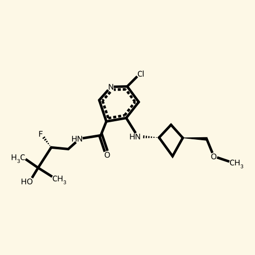 COC[C@H]1C[C@H](Nc2cc(Cl)ncc2C(=O)NC[C@@H](F)C(C)(C)O)C1